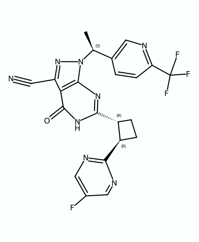 C[C@@H](c1ccc(C(F)(F)F)nc1)n1nc(C#N)c2c(=O)[nH]c([C@@H]3CC[C@H]3c3ncc(F)cn3)nc21